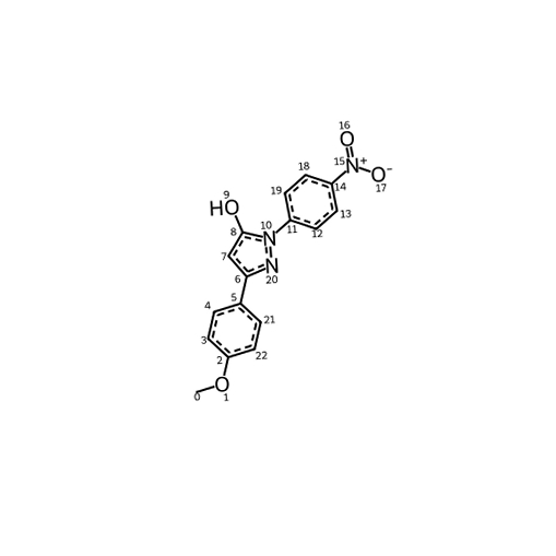 COc1ccc(-c2cc(O)n(-c3ccc([N+](=O)[O-])cc3)n2)cc1